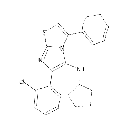 Clc1ccccc1-c1nc2scc(C3=CC=CCC3)n2c1NC1CCCC1